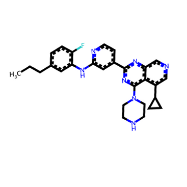 CCCc1ccc(F)c(Nc2cc(-c3nc(N4CCNCC4)c4c(C5CC5)cncc4n3)ccn2)c1